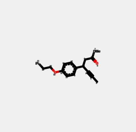 CC#CC(CC(=O)OC)c1ccc(OCCC(C)C)cc1